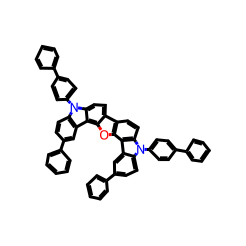 c1ccc(-c2ccc(-n3c4ccc(-c5ccccc5)cc4c4c5oc6c(ccc7c6c6cc(-c8ccccc8)ccc6n7-c6ccc(-c7ccccc7)cc6)c5ccc43)cc2)cc1